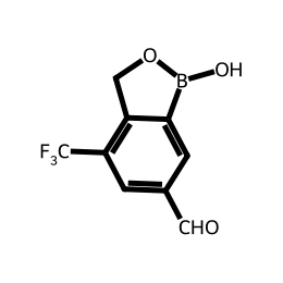 O=Cc1cc2c(c(C(F)(F)F)c1)COB2O